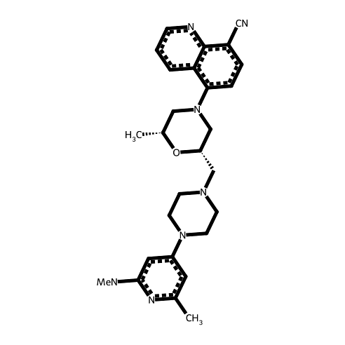 CNc1cc(N2CCN(C[C@H]3CN(c4ccc(C#N)c5ncccc45)C[C@@H](C)O3)CC2)cc(C)n1